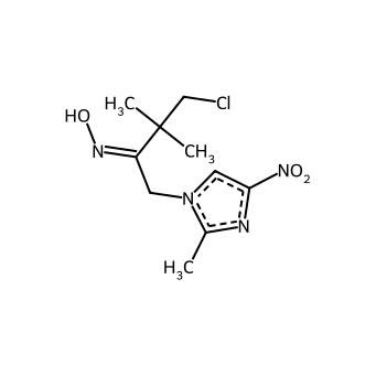 Cc1nc([N+](=O)[O-])cn1C/C(=N/O)C(C)(C)CCl